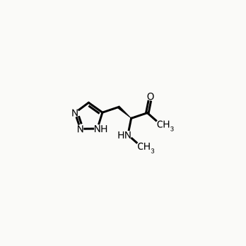 CN[C@@H](Cc1cnn[nH]1)C(C)=O